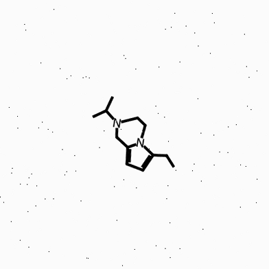 CCc1ccc2n1CCN(C(C)C)C2